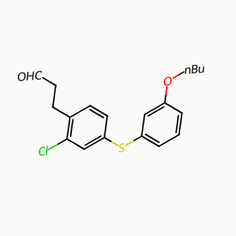 CCCCOc1cccc(Sc2ccc(CCC=O)c(Cl)c2)c1